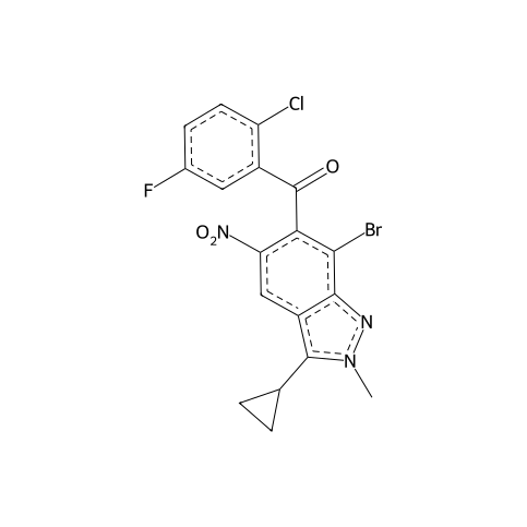 Cn1nc2c(Br)c(C(=O)c3cc(F)ccc3Cl)c([N+](=O)[O-])cc2c1C1CC1